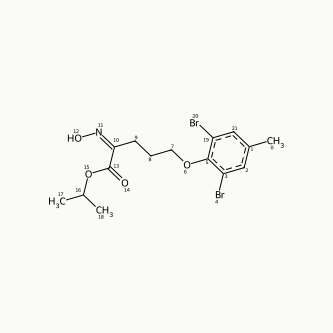 Cc1cc(Br)c(OCCC/C(=N/O)C(=O)OC(C)C)c(Br)c1